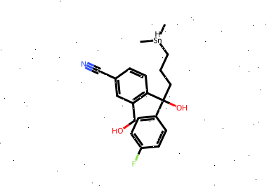 [CH3][SnH]([CH3])[CH2]CCC(O)(c1ccc(F)cc1)c1ccc(C#N)cc1CO